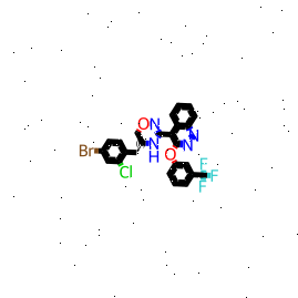 FC(F)(F)c1cccc(Oc2nnc3ccccc3c2C2=NOC[C@@H](Cc3ccc(Br)cc3Cl)N2)c1